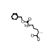 C[C@@H](CCCNC(=O)OCc1ccccc1)C(=O)Cl